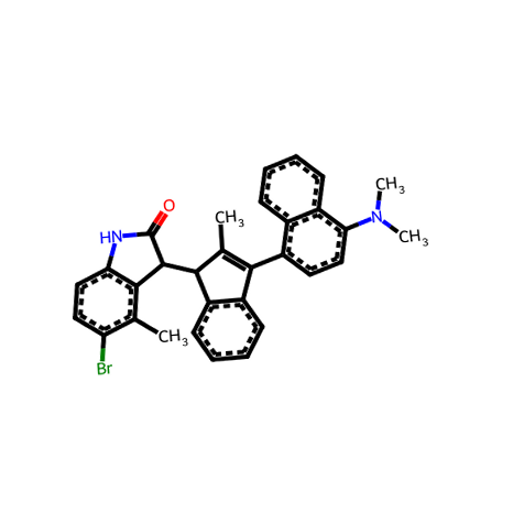 CC1=C(c2ccc(N(C)C)c3ccccc23)c2ccccc2C1C1C(=O)Nc2ccc(Br)c(C)c21